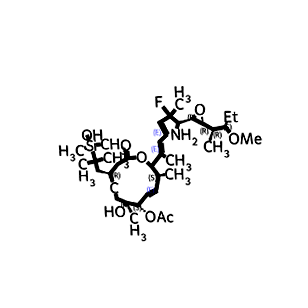 CC[C@H](OC)[C@@H](C)[C@H]1O[C@@H]1C(N)C(C)(F)/C=C/C=C(\C)C1OC(=O)C[C@H](CC(C)(C)[Si](C)(C)O)CC[C@@](C)(O)[C@@H](OC(C)=O)/C=C/[C@@H]1C